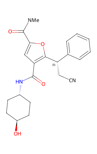 CNC(=O)c1cc(C(=O)N[C@H]2CC[C@H](O)CC2)c([C@@H](CC#N)c2ccccc2)o1